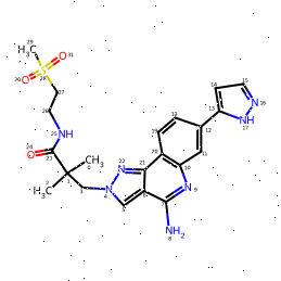 CC(C)(Cn1cc2c(N)nc3cc(-c4ccn[nH]4)ccc3c2n1)C(=O)NCCS(C)(=O)=O